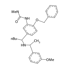 CCCCC(NC(C)c1cccc(OC)c1)c1ccc(OCc2ccccc2)c(NC(=O)NC)c1